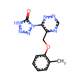 Cc1ccccc1OCc1ncnnc1-n1nn[nH]c1=O